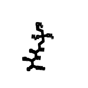 C=CCC(C)(C)CCNC(=O)NC(C(=O)OC)C(C)(C)C